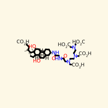 C[C@H](CCC(=O)O)[C@H]1CC[C@H]2[C@@H]3[C@H](O)C[C@@H]4C[C@@H](NC(=O)CNC(=O)CN(CCN(CCN(CC(=O)O)CC(=O)O)CC(=O)O)CC(=O)O)CC[C@]4(C)[C@H]3C[C@H](O)[C@]12C